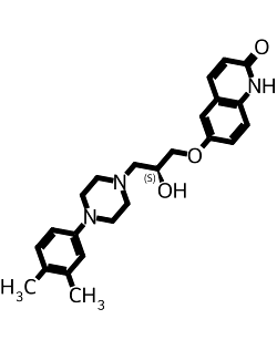 Cc1ccc(N2CCN(C[C@H](O)COc3ccc4[nH]c(=O)ccc4c3)CC2)cc1C